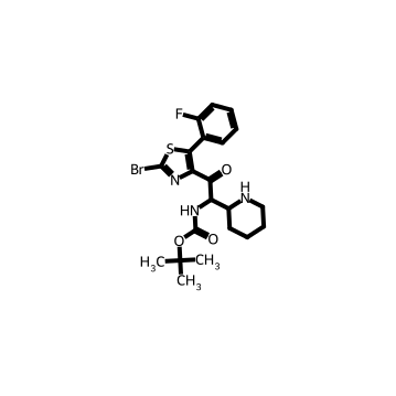 CC(C)(C)OC(=O)NC(C(=O)c1nc(Br)sc1-c1ccccc1F)C1CCCCN1